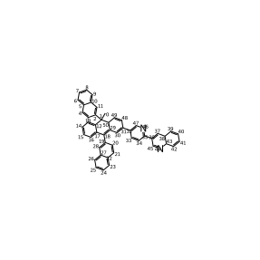 CC1(c2ccc3ccccc3c2)c2ccccc2C(c2ccc3ccccc3c2)=C2C=C(c3ccc(C4=CC5C=CC=CC5N=C4)nc3)C=CC21